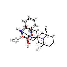 CC12CC3CC(C)(C1)CC(N1[C@@H]4CCC[C@H]1C[C@@H](n1c(=O)c(C(=O)O)nc5ccccc51)C4)(C3)C2